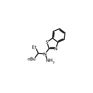 CCCCC(CC)N(N)c1nc2ccccc2s1